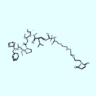 CC[C@H](C)[C@@H]([C@@H](CC(=O)N1CCC[C@H]1[C@H](OC)[C@@H](C)C(=O)N[C@@H](Cc1ccccc1)c1nccs1)OC)N(C)C(=O)C(/C=N/C(=O)C(C)(C)NC(=O)CCOCCOCCOCCN1C(=O)C=CC1=O)C(C)C